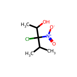 CC(C)C(Cl)(C(C)O)[N+](=O)[O-]